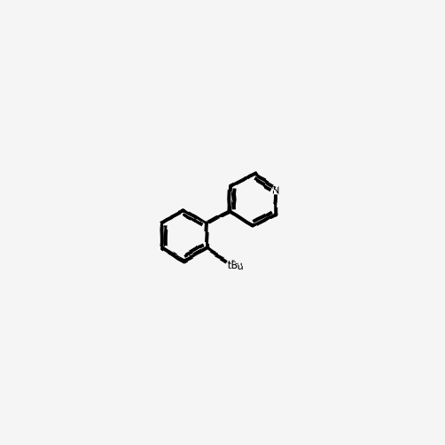 CC(C)(C)c1ccccc1-c1ccncc1